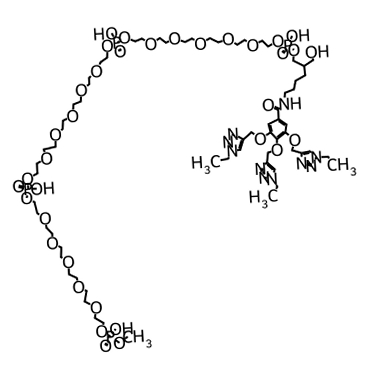 CCn1cc(COc2cc(C(=O)NCCCCC(CO)COP(=O)(O)OCCOCCOCCOCCOCCOCCOP(=O)(O)OCCOCCOCCOCCOCCOCCOP(=O)(O)OCCOCCOCCOCCOCCOCCOP(=O)(O)OC)cc(OCc3cn(CC)nn3)c2OCc2cn(CC)nn2)nn1